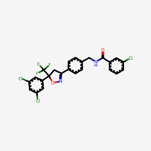 O=C(NCc1ccc(C2=NOC(c3cc(Cl)cc(Cl)c3)(C(F)(F)F)C2)cc1)c1cccc(Cl)c1